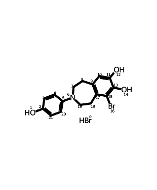 Br.Oc1ccc(N2CCc3cc(O)c(O)c(Br)c3CC2)cc1